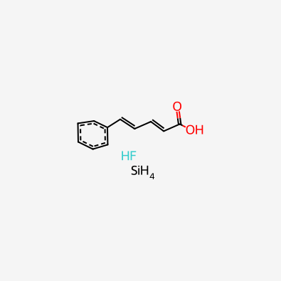 F.O=C(O)C=CC=Cc1ccccc1.[SiH4]